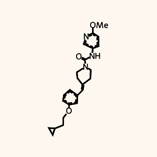 COc1ccc(NC(=O)N2CCC(=Cc3cccc(OCCC4CC4)c3)CC2)cn1